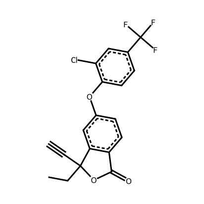 C#CC1(CC)OC(=O)c2ccc(Oc3ccc(C(F)(F)F)cc3Cl)cc21